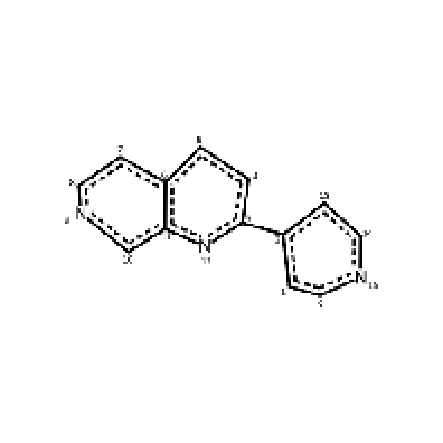 c1cc(-c2ccc3ccncc3n2)ccn1